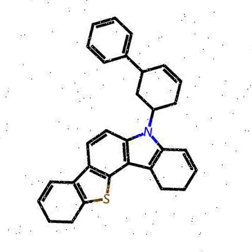 C1=Cc2c(sc3c2ccc2c3c3c(n2C2CC=CC(c4ccccc4)C2)C=CCC3)CC1